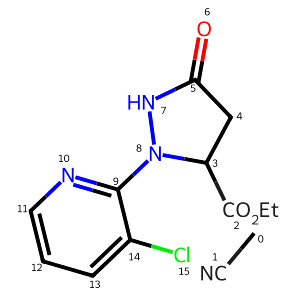 CC#N.CCOC(=O)C1CC(=O)NN1c1ncccc1Cl